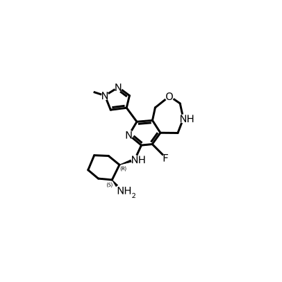 Cn1cc(-c2nc(N[C@@H]3CCCC[C@@H]3N)c(F)c3c2COCNC3)cn1